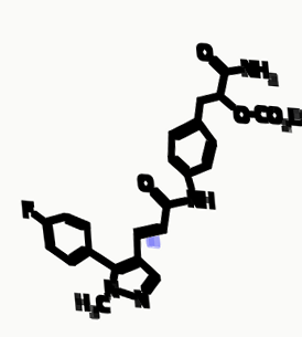 CCOC(=O)OC(Cc1ccc(NC(=O)/C=C/c2cnn(C)c2-c2ccc(F)cc2)cc1)C(N)=O